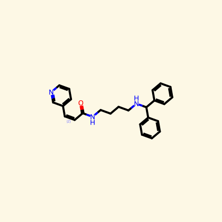 O=C(/C=C\c1cccnc1)NCCCCNC(c1ccccc1)c1ccccc1